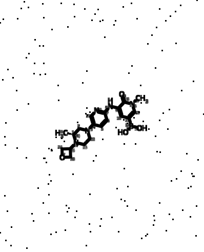 C[C@@H]1CN(c2ccc(Nc3cc(B(O)O)cn(C)c3=O)nc2)CCN1C1COC1